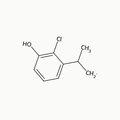 [CH2]C(C)c1cccc(O)c1Cl